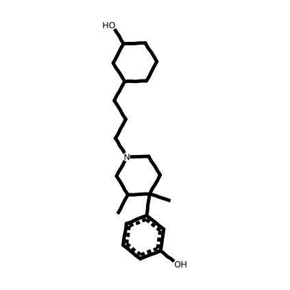 CC1CN(CCCC2CCCC(O)C2)CCC1(C)c1cccc(O)c1